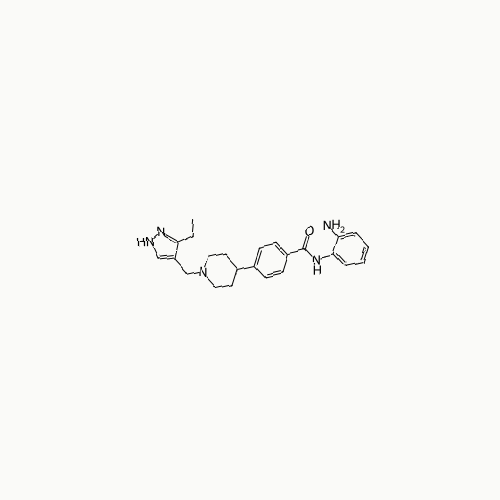 CCc1n[nH]cc1CN1CCC(c2ccc(C(=O)Nc3ccccc3N)cc2)CC1